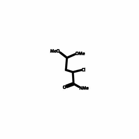 CNC(=O)C(Cl)CC(OC)OC